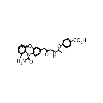 COc1cc(CC(=O)CNC(C)Oc2ccc(C(=O)O)cc2)ccc1N(C(N)=O)c1ccccc1C